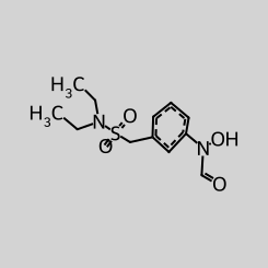 CCN(CC)S(=O)(=O)Cc1cccc(N(O)C=O)c1